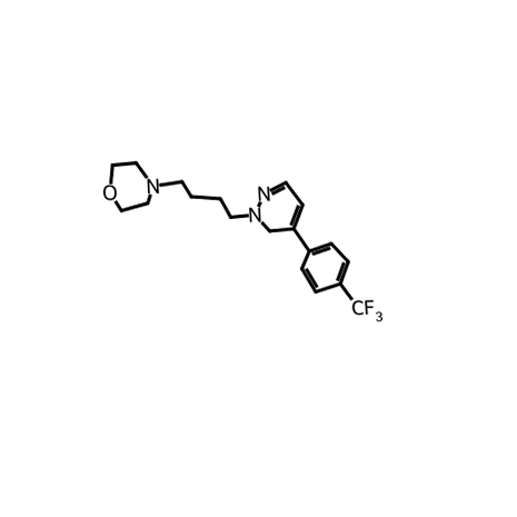 FC(F)(F)c1ccc(C2=CC=NN(CCCCN3CCOCC3)C2)cc1